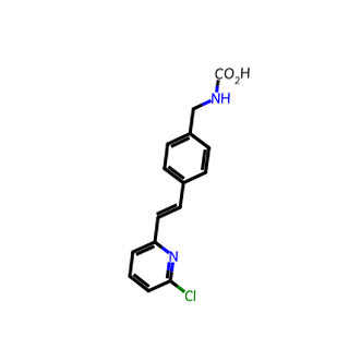 O=C(O)NCc1ccc(/C=C/c2cccc(Cl)n2)cc1